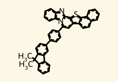 CC1(C)c2ccccc2-c2cc(-c3ccc(-c4cc5c6ccc7ccccc7c6sc5c5nc6ccccc6n45)cc3)ccc21